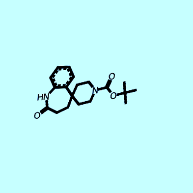 CC(C)(C)OC(=O)N1CCC2(CCC(=O)Nc3ccccc32)CC1